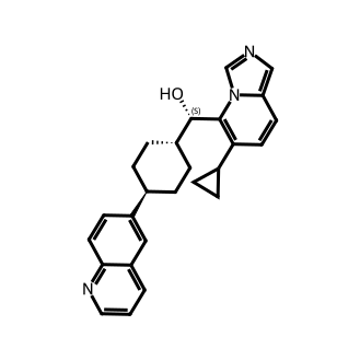 O[C@H](c1c(C2CC2)ccc2cncn12)[C@H]1CC[C@H](c2ccc3ncccc3c2)CC1